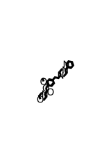 COc1cc(CCN2CCN(c3ccccn3)CC2)ccc1OC(=O)N1CCOCC1